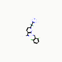 Cc1nn(Cc2c(Cl)cccc2Cl)c2nc(C(F)(F)c3nnn[nH]3)ccc12